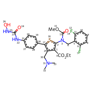 CCOC(=O)c1c(N(Cc2c(F)cccc2F)C(=O)OC)sc(-c2ccc(NC(=O)NO)cc2)c1CN(C)C